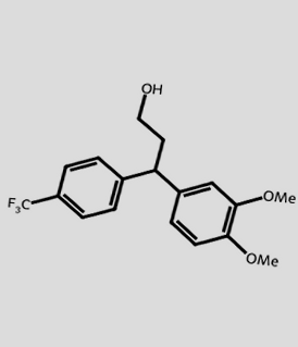 COc1ccc(C(CCO)c2ccc(C(F)(F)F)cc2)cc1OC